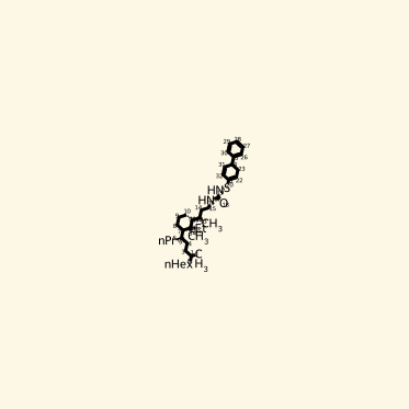 CCCCCCC(C)CC[C@@H](CCC)C1CCC[C@H]([C@H](C)CCNC(=O)NSC2=CCC(c3ccccc3)C=C2)[C@@]1(C)CC